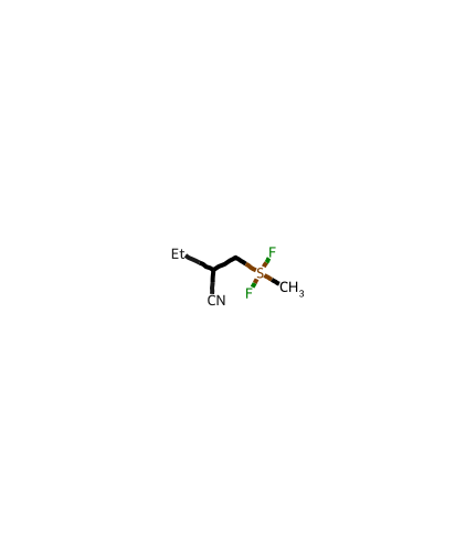 CCC(C#N)CS(C)(F)F